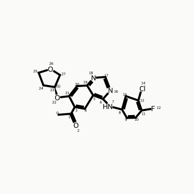 CC(=O)c1cc2c(Nc3ccc(F)c(Cl)c3)ncnc2cc1O[C@H]1CCOC1